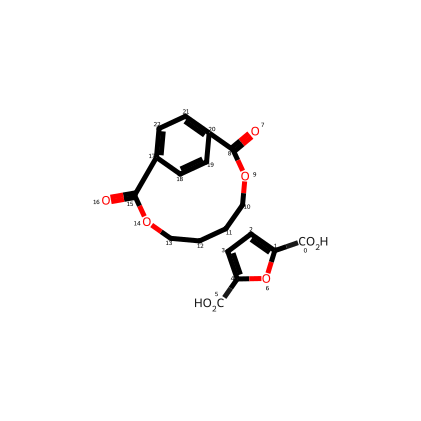 O=C(O)c1ccc(C(=O)O)o1.O=C1OCCCCOC(=O)c2ccc1cc2